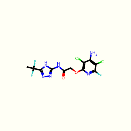 CC(F)(F)c1nnc(NC(=O)COc2nc(F)c(Cl)c(N)c2Cl)[nH]1